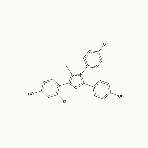 Cc1c(-c2ccc(O)cc2Cl)cc(-c2ccc(O)cc2)n1-c1ccc(O)cc1